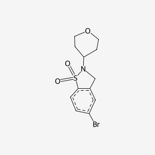 O=S1(=O)c2ccc(Br)cc2CN1C1CCOCC1